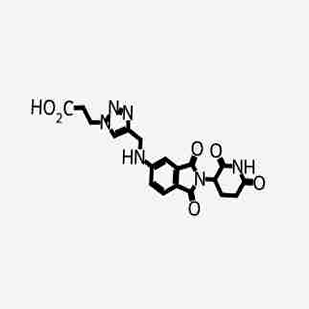 O=C(O)CCn1cc(CNc2ccc3c(c2)C(=O)N(C2CCC(=O)NC2=O)C3=O)nn1